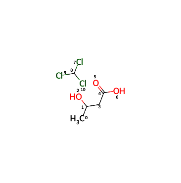 CC(O)CC(=O)O.ClC(Cl)Cl